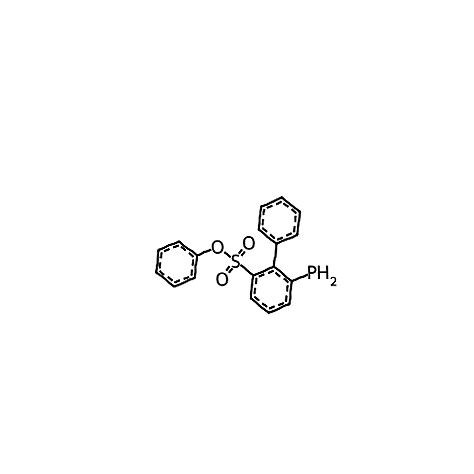 O=S(=O)(Oc1ccccc1)c1cccc(P)c1-c1ccccc1